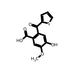 COc1cc(C(=O)O)c(C(=O)c2cccs2)cc1O